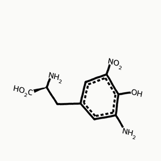 Nc1cc(C[C@H](N)C(=O)O)cc([N+](=O)[O-])c1O